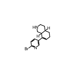 Brc1ccc(C2=CCC[C@H]3CCNC[C@@H]23)cn1